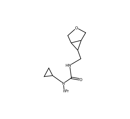 CCCN(C(=O)NCC1C2COCC12)C1CC1